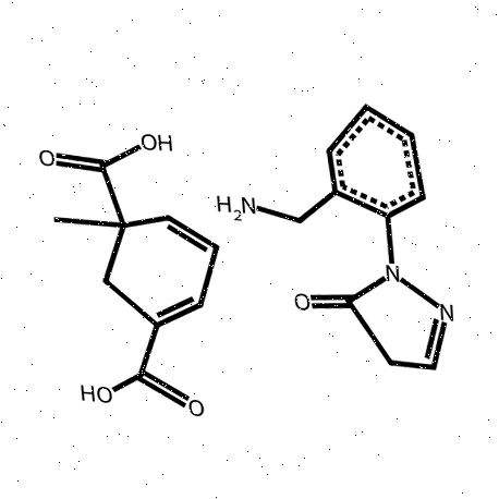 CC1(C(=O)O)C=CC=C(C(=O)O)C1.NCc1ccccc1N1N=CCC1=O